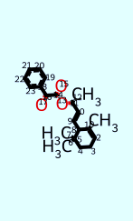 CC1=CCCC(C)(C)C1/C=C/C(C)OC(=O)C(=O)c1ccccc1